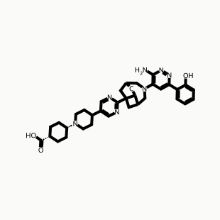 Nc1nnc(-c2ccccc2O)cc1N1CC2CC3C(C1)CC3(c1ncc(C3CCN([C@H]4CC[C@@H](C(=O)O)CC4)CC3)cn1)C2